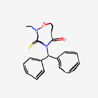 CN1OCC(=O)N(C(c2ccccc2)c2ccccc2)C1=S